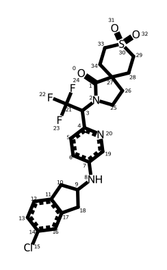 O=C1N(C(c2ccc(NC3Cc4ccc(Cl)cc4C3)cn2)C(F)(F)F)CCC12CCS(=O)(=O)CC2